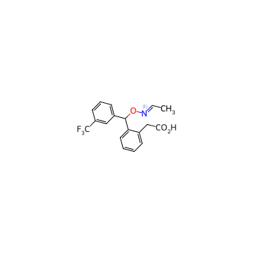 C/C=N/OC(c1cccc(C(F)(F)F)c1)c1ccccc1CC(=O)O